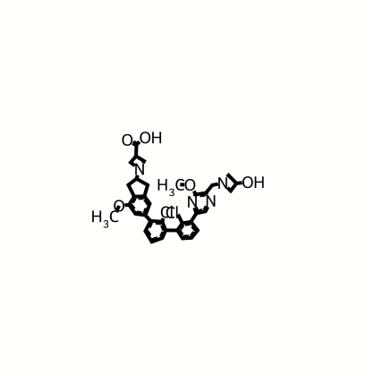 COc1cc(-c2cccc(-c3cccc(-c4cnc(CN5CC(O)C5)c(OC)n4)c3Cl)c2Cl)cc2c1CC(N1CC(C(=O)O)C1)C2